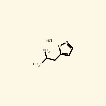 Cl.NC(Cc1ccno1)C(=O)O